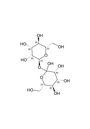 OC[C@@H]1O[C@@H](OC2(O)O[C@@H](CO)[C@H](O)[C@@H](O)[C@H]2O)[C@H](O)[C@H](O)[C@H]1O